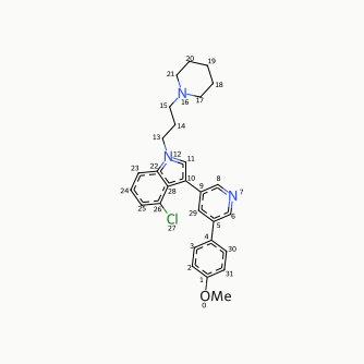 COc1ccc(-c2cncc(-c3cn(CCCN4CCCCC4)c4cccc(Cl)c34)c2)cc1